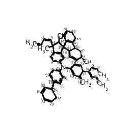 C=C/C=C\C1(C)c2ccc(N(C3=CC(=C)C(C(/C=C\C)=C/C=C)C=C3)c3ccc(C4C=CC=CC4)cc3)cc2C2(C3=C(CCC=C3)C3CC(C)C=CC32)C1C